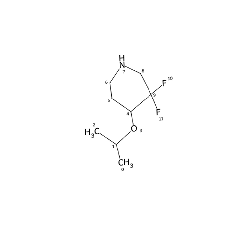 CC(C)OC1CCNCC1(F)F